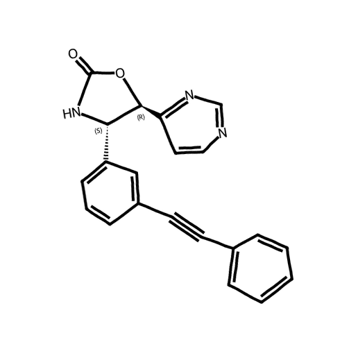 O=C1N[C@@H](c2cccc(C#Cc3ccccc3)c2)[C@H](c2ccncn2)O1